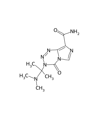 CN(C)C(C)(C)n1nnc2c(C(N)=O)ncn2c1=O